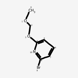 COCOc1cccc(Br)n1